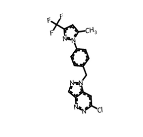 Cc1cc(C(F)(F)F)nn1-c1ccc(Cn2ncc3nnc(Cl)cc32)cc1